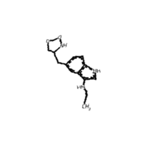 CCNc1c[nH]c2ccc(CC3COON3)cc12